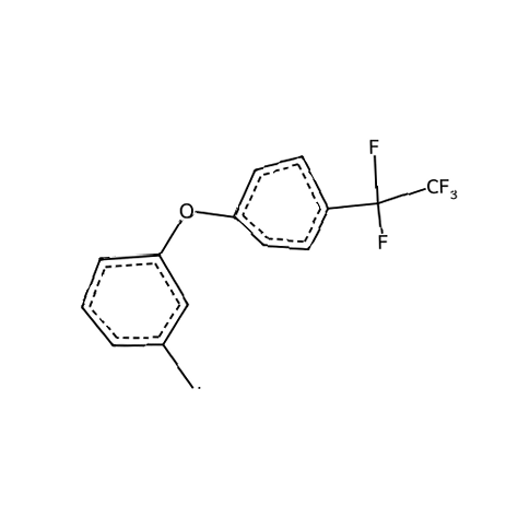 [CH2]c1cccc(Oc2ccc(C(F)(F)C(F)(F)F)cc2)c1